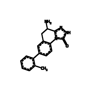 Cc1ccccc1-c1ccc2c(c1)CC(N)c1n[nH]c(=O)n1-2